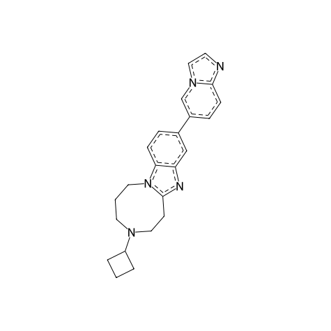 c1cn2cc(-c3ccc4c(c3)nc3n4CCCN(C4CCC4)CC3)ccc2n1